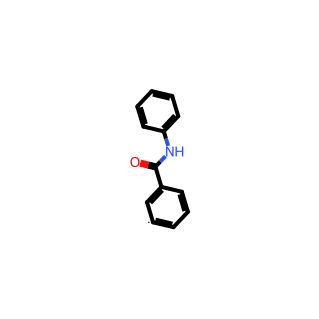 O=C(Nc1ccccc1)c1c[c]ccc1